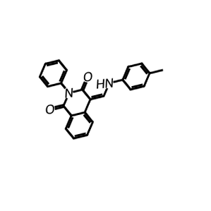 Cc1ccc(NC=C2C(=O)N(c3ccccc3)C(=O)c3ccccc32)cc1